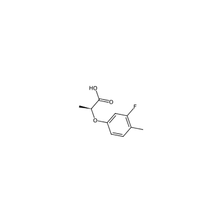 Cc1ccc(O[C@@H](C)C(=O)O)cc1F